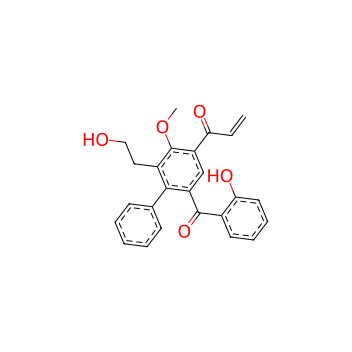 C=CC(=O)c1cc(C(=O)c2ccccc2O)c(-c2ccccc2)c(CCO)c1OC